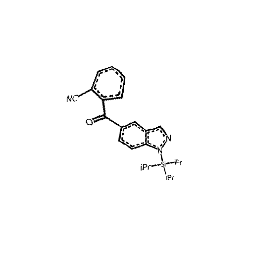 CC(C)[Si](C(C)C)(C(C)C)n1ncc2cc(C(=O)c3ccccc3C#N)ccc21